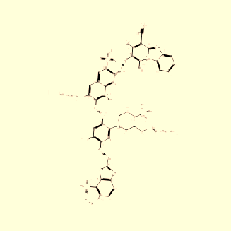 COc1cc(N=Nc2c(SOOO)cc3cc(S(=O)(=O)O)c(N=Nc4c(C)c(C#N)c5nc6ccccc6n5c4O)cc3c2O)c(N(CCCSOOO)CCCS(=O)(=O)O)cc1N=Nc1nc2ccc(OC)c(S(=O)(=O)O)c2s1